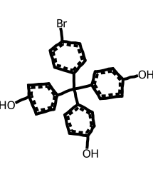 Oc1ccc(C(c2ccc(O)cc2)(c2ccc(O)cc2)c2ccc(Br)cc2)cc1